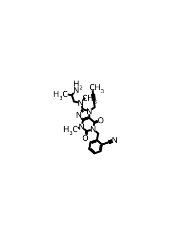 CC#CCn1c(N(C)CC(C)N)nc2c1c(=O)n(Cc1ccccc1C#N)c(=O)n2C